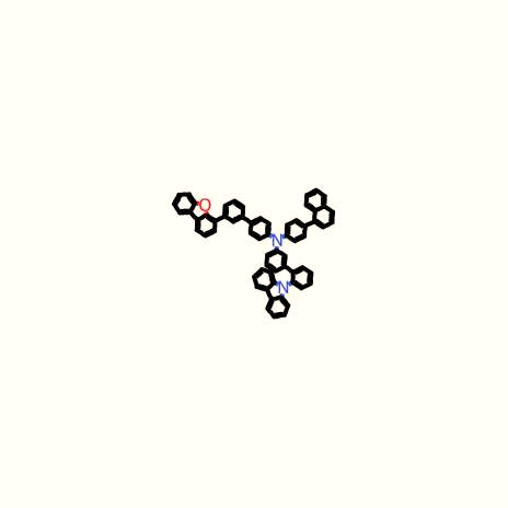 c1cc(-c2ccc(N(c3ccc(-c4cccc5ccccc45)cc3)c3cccc(-c4ccccc4-n4c5ccccc5c5ccccc54)c3)cc2)cc(-c2cccc3c2oc2ccccc23)c1